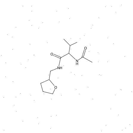 CC(=O)NC(C(=O)NCC1CCCO1)C(C)C